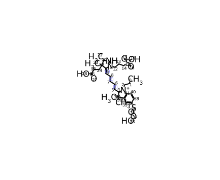 CCC[N+]1=C(/C=C/C=C/C=C2\N(CCCS(=O)(=O)O)NC(C)C2(C)CCC(=O)O)C(C)(C)c2cc(SOOO)ccc21